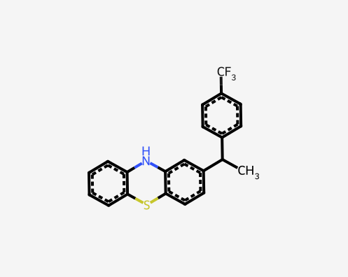 CC(c1ccc(C(F)(F)F)cc1)c1ccc2c(c1)Nc1ccccc1S2